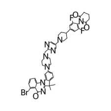 CC1(C)c2ccc(N3CCN(Cc4ncc(N5CCC(c6cc(F)c(N7C(=O)CCCC7=O)c(F)c6)CC5)cn4)CC3)cc2-n2c1nc(=O)c1c(Br)cccc12